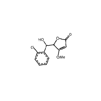 COC1=CC(=O)OC1C(O)c1ccccc1Cl